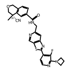 C[C@@]1(C#N)COCc2ccc(C(=O)NCc3cc4nc(-c5ccnc(N6CCC6)c5F)sc4cn3)cc21